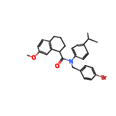 COc1ccc2c(c1)C(C(=O)N(Cc1ccc(Br)cc1)c1ccc(C(C)C)cc1)CCC2